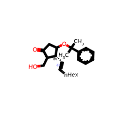 CCCCCC/C=C/[C@H]1C(OC(C)(C)c2ccccc2)CC(=O)C1CO